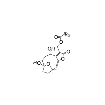 CCC(C)C(=O)OCC1=C2/C(=C\C3(C)CCC(O)(O3)[C@H](C)C[C@@H]2O)OC1=O